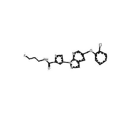 O=C(NCCCF)c1cc(-n2ncc3cc(Oc4ccccc4Cl)cnc32)cs1